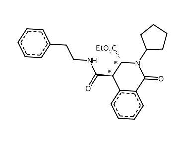 CCOC(=O)[C@H]1[C@H](C(=O)NCCc2ccccc2)c2ccccc2C(=O)N1C1CCCC1